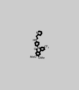 COc1cc(C(=O)Nc2ccc(NCCc3ccccn3)cc2)c(-c2ccc(C(F)(F)F)cc2)cc1OC